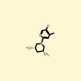 C[C@@H]1C[C@H](C)CN(c2cc(I)c(Cl)cn2)C1